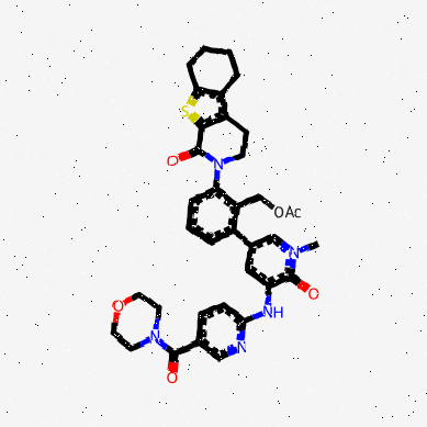 CC(=O)OCc1c(-c2cc(Nc3ccc(C(=O)N4CCOCC4)cn3)c(=O)n(C)c2)cccc1N1CCc2c(sc3c2CCCC3)C1=O